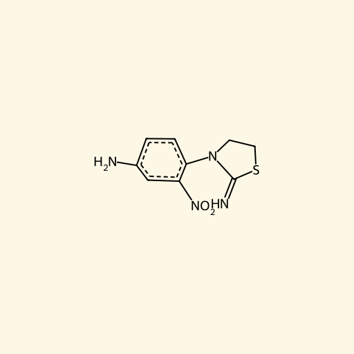 N=C1SCCN1c1ccc(N)cc1[N+](=O)[O-]